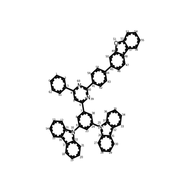 c1ccc(-c2cc(-c3cc(-n4c5ccccc5c5ccccc54)cc(-n4c5ccccc5c5ccccc54)c3)nc(-c3ccc(-c4ccc5c(c4)oc4ccccc45)cc3)n2)cc1